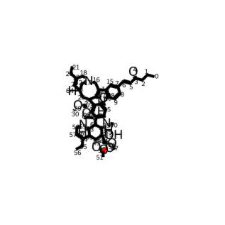 CCCC(=O)/C=C/c1ccc2[nH]c3c(c2c1)CN1CC(CC)=C[C@@H](C1)C[C@]3(C(=O)OC)c1cc2c(cc1OC)N(C)[C@H]1[C@@](O)(C(=O)OC)[C@H](OC(C)=O)C3C(CC)=CCN4CC[C@]21[C@H]34